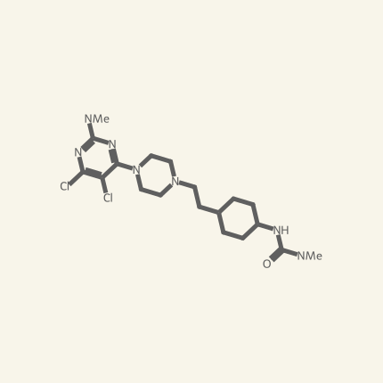 CNC(=O)NC1CCC(CCN2CCN(c3nc(NC)nc(Cl)c3Cl)CC2)CC1